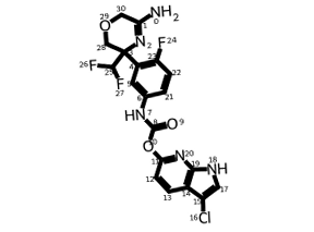 NC1=NC(c2cc(NC(=O)Oc3ccc4c(Cl)c[nH]c4n3)ccc2F)(C(F)F)COC1